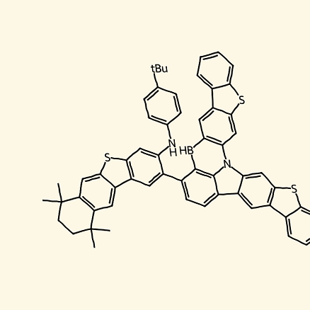 CC(C)(C)c1ccc(Nc2cc3sc4cc5c(cc4c3cc2-c2ccc3c4cc6c(cc4n4c3c2Bc2cc3c(cc2-4)sc2ccccc23)sc2ccccc26)C(C)(C)CCC5(C)C)cc1